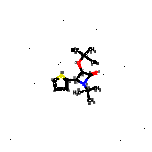 C[Si](C)(C)O[C@H]1C(=O)N([Si](C)(C)C)[C@H]1c1cccs1